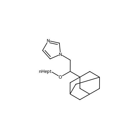 CCCCCCCOC(Cn1ccnc1)C12CC3CC(CC(C3)C1)C2